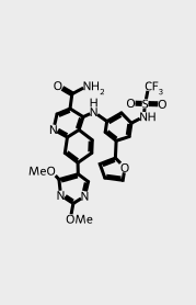 COc1ncc(-c2ccc3c(Nc4cc(NS(=O)(=O)C(F)(F)F)cc(-c5ccco5)c4)c(C(N)=O)cnc3c2)c(OC)n1